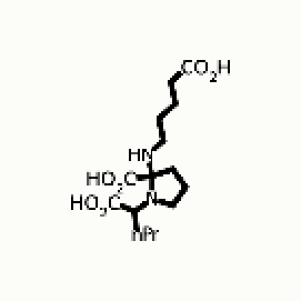 CCCC(C(=O)O)N1CCCC1(NCCCCC(=O)O)C(=O)O